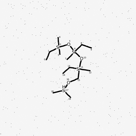 CC[Si](C)(C)O[Si](C)(CC)O[Si](C)(CC)CO[SiH](C)C